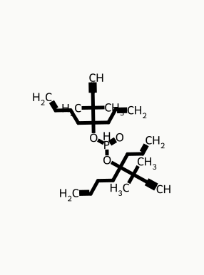 C#CC(C)(C)C(CC=C)(CCC=C)O[PH](=O)OC(CC=C)(CCC=C)C(C)(C)C#C